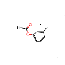 [CH2]c1cccc(OC(=O)CC)c1